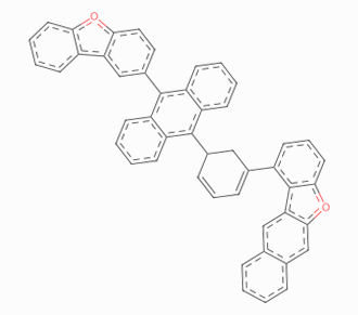 C1=CC(c2c3ccccc3c(-c3ccc4oc5ccccc5c4c3)c3ccccc23)CC(c2cccc3oc4cc5ccccc5cc4c23)=C1